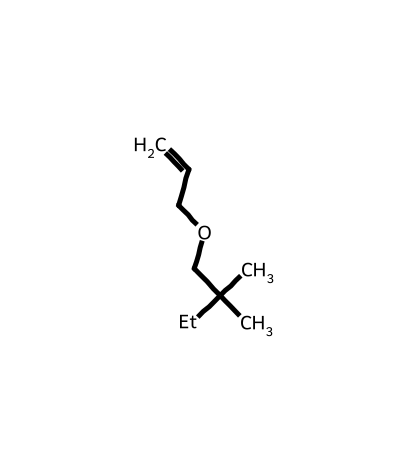 C=CCOCC(C)(C)CC